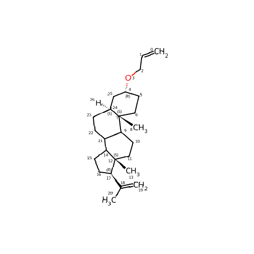 C=CCO[C@@H]1CC[C@]2(C)C3CC[C@@]4(C)C(CC[C@@H]4C(=C)C)C3CC[C@H]2C1